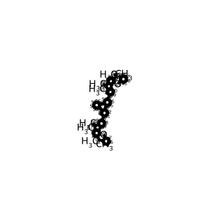 CC1(C)c2ccccc2Oc2c1ccc1c2-c2ccc(-c3ccc4c5ccc(-c6ccc7c(c6)C(C)(C)c6ccc8c(c6-7)Oc6ccccc6[Si]8(C)C)cc5c5ccccc5c4c3)cc2C1(C)C